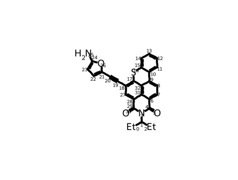 CCC(CC)n1c(=O)c2ccc3c4ccccc4sc4c(C#Cc5ccc(N)o5)cc(c1=O)c2c43